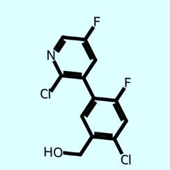 OCc1cc(-c2cc(F)cnc2Cl)c(F)cc1Cl